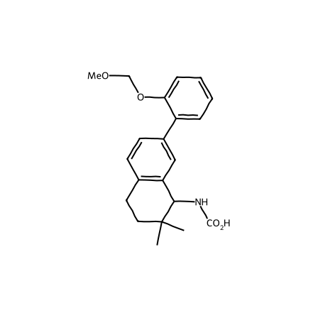 COCOc1ccccc1-c1ccc2c(c1)C(NC(=O)O)C(C)(C)CC2